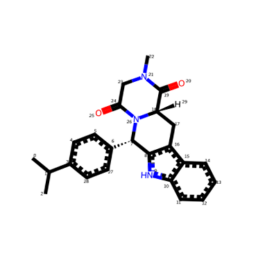 CC(C)c1ccc([C@H]2c3[nH]c4ccccc4c3C[C@H]3C(=O)N(C)CC(=O)N23)cc1